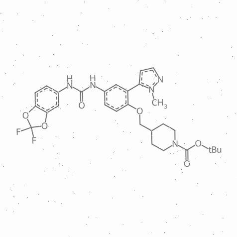 Cn1nccc1-c1cc(NC(=O)Nc2ccc3c(c2)OC(F)(F)O3)ccc1OCC1CCN(C(=O)OC(C)(C)C)CC1